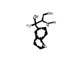 CCNC(CO)C(O)(c1ccc2occc2c1)C(Cl)(Cl)Cl